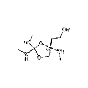 CNC1(NC)OC[C@@](CCO)(NC)O1